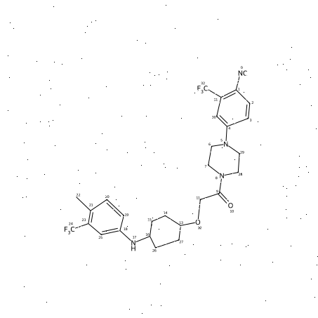 [C-]#[N+]c1ccc(N2CCN(C(=O)COC3CCC(Nc4ccc(C)c(C(F)(F)F)c4)CC3)CC2)cc1C(F)(F)F